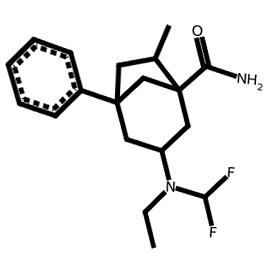 CCN(C(F)F)C1CC2(c3ccccc3)CC(C)C(C(N)=O)(C1)C2